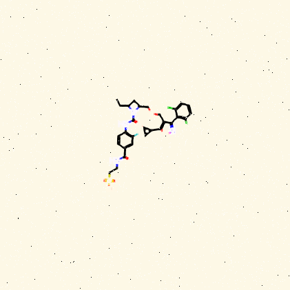 CCC1CC(COCc2c(-c3c(Cl)cccc3Cl)noc2C2CC2)N1C(=O)Nc1ccc(C(=O)NCCS(=O)(=O)O)cc1F